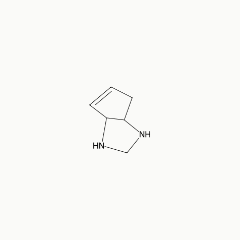 C1=CC2NCNC2C1